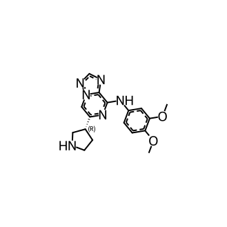 COc1ccc(Nc2nc([C@@H]3CCNC3)cn3ncnc23)cc1OC